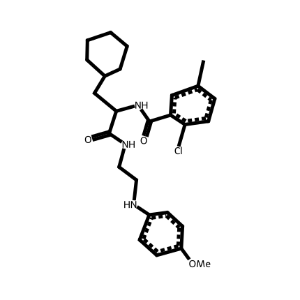 COc1ccc(NCCNC(=O)C(CC2CCCCC2)NC(=O)c2cc(C)ccc2Cl)cc1